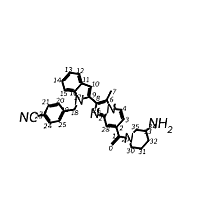 C=C(c1ccn2c(C)c(-c3cc4ccccc4n3Cc3ccc(C#N)cc3)nc2c1)N1CCCC(N)C1